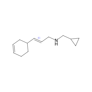 C1=CCC(/C=C/CNCC2CC2)CC1